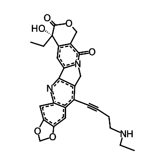 CCNCCC#Cc1c2c(nc3cc4c(cc13)OCO4)-c1cc3c(c(=O)n1C2)COC(=O)[C@]3(O)CC